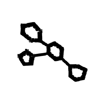 c1ccc(-c2ccc(-c3ncncn3)c(-n3ccnn3)c2)cc1